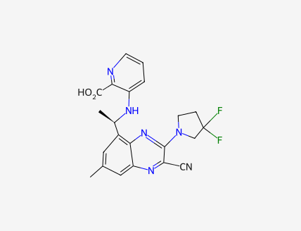 Cc1cc([C@@H](C)Nc2cccnc2C(=O)O)c2nc(N3CCC(F)(F)C3)c(C#N)nc2c1